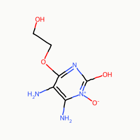 Nc1c(OCCO)nc(O)[n+]([O-])c1N